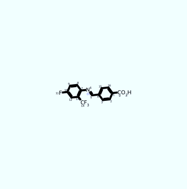 O=C(O)c1ccc(/C=N/c2ccc(F)cc2C(F)(F)F)cc1